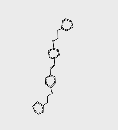 C(=C\c1ccc(OCCc2ccccc2)cc1)/c1ccc(OCCc2ccccc2)cc1